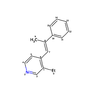 CCc1cnccc1/C=C(\C)c1ccccc1